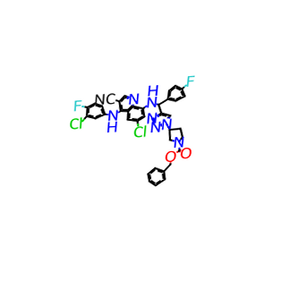 N#Cc1cnc2c(NC(c3ccc(F)cc3)c3cn([C@H]4CCN(C(=O)OCc5ccccc5)C4)nn3)cc(Cl)cc2c1Nc1ccc(F)c(Cl)c1